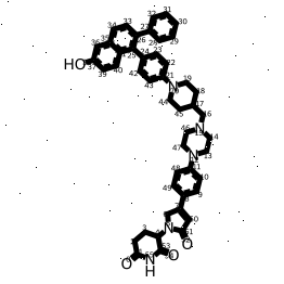 O=C1CCC(N2CC(c3ccc(N4CCN(CC5CCN(c6ccc(-c7c(-c8ccccc8)ccc8cc(O)ccc78)cc6)CC5)CC4)cc3)=CC2=O)C(=O)N1